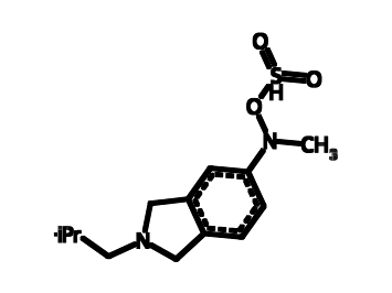 C[C](C)CN1Cc2ccc(N(C)O[SH](=O)=O)cc2C1